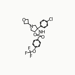 O=S(=O)(N[C@]1(c2ccc(Cl)cc2)CCN(C2COC2)C1)c1ccc(OC(F)(F)F)cc1